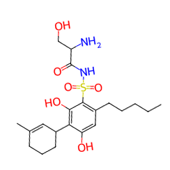 CCCCCc1cc(O)c(C2C=C(C)CCC2)c(O)c1S(=O)(=O)NC(=O)C(N)CO